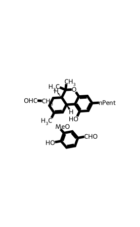 CC=O.CCCCCc1cc(O)c2c(c1)OC(C)(C)[C@@H]1CCC(C)=C[C@@H]21.COc1cc(C=O)ccc1O